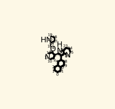 c1ccc2cc(-c3c(-c4ccncc4OC[C@@H]4CCCN4)[nH]c4cccnc34)ccc2c1